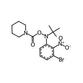 CC(C)(C)N(OC(=O)N1CCCCC1)c1cccc(Br)c1[N+](=O)[O-]